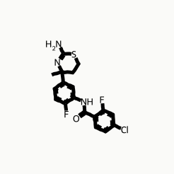 CC1(c2ccc(F)c(NC(=O)c3ccc(Cl)cc3F)c2)CCSC(N)=N1